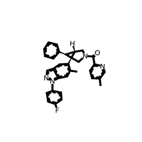 Cc1ccc(C(=O)N2C[C@H]3[C@H](c4ccccc4)[C@@]3(c3cc4cnn(-c5ccc(F)cc5)c4cc3C)C2)nc1